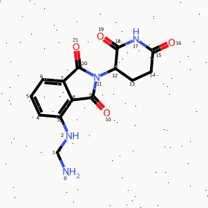 NCNc1cccc2c1C(=O)N(C1CCC(=O)NC1=O)C2=O